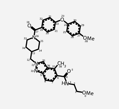 COCCNC(=O)c1ccc2nn(CC3CCN(C(=O)c4ccc(Oc5ccc(OC)cc5)cc4)CC3)cc2c1C